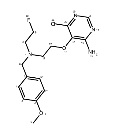 COc1ccc(CN(CCF)CCOc2c(N)ncnc2Cl)cc1